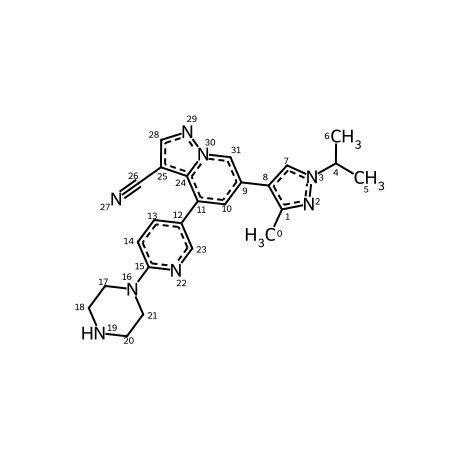 Cc1nn(C(C)C)cc1-c1cc(-c2ccc(N3CCNCC3)nc2)c2c(C#N)cnn2c1